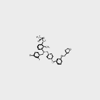 Cc1c(NS(C)(=O)=O)cccc1N(Cc1ccc(Oc2cccc(OCC3CCOC3)c2)cc1)Cc1ccc(F)cc1F